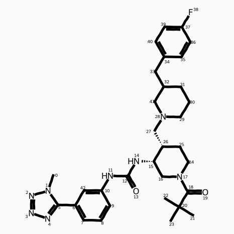 Cn1nnnc1-c1cccc(NC(=O)N[C@H]2CN(C(=O)C(C)(C)C)CC[C@H]2CN2CCCC(Cc3ccc(F)cc3)C2)c1